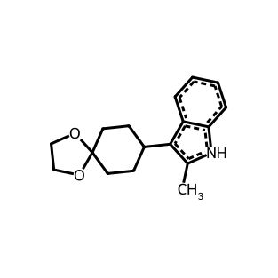 Cc1[nH]c2ccccc2c1C1CCC2(CC1)OCCO2